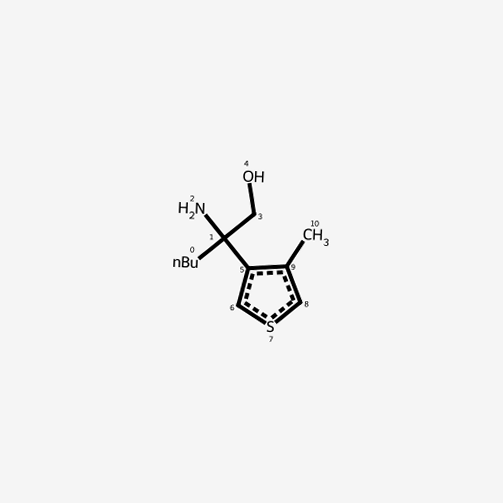 CCCCC(N)(CO)c1cscc1C